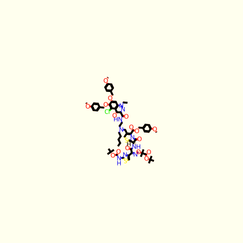 CCCCCN(CCNC(=O)c1nn(CC)c2cc(OCc3ccc(OC)cc3)c(OCc3ccc(OC)cc3)c(Cl)c2c1=O)CC1=C(C(=O)OCc2ccc(OC)cc2)N2C(=O)[C@@H](NC(=O)/C(=N\OC(C)(C)C(=O)OC(C)(C)C)c3csc(NC(=O)OC(C)(C)C)n3)[C@H]2SC1